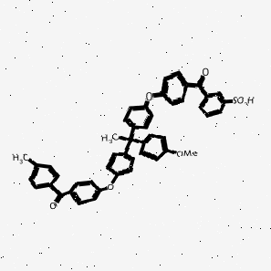 COc1ccc(C(C)(c2ccc(Oc3ccc(C(=O)c4ccc(C)cc4)cc3)cc2)c2ccc(Oc3ccc(C(=O)c4cccc(S(=O)(=O)O)c4)cc3)cc2)cc1